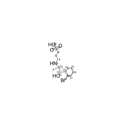 CC(C)(NCCCS(=O)(=O)O)C(O)c1ccccc1Br